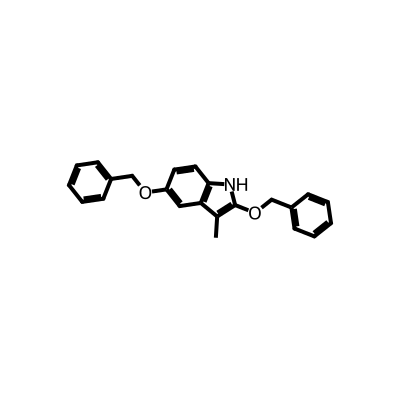 Cc1c(OCc2ccccc2)[nH]c2ccc(OCc3ccccc3)cc12